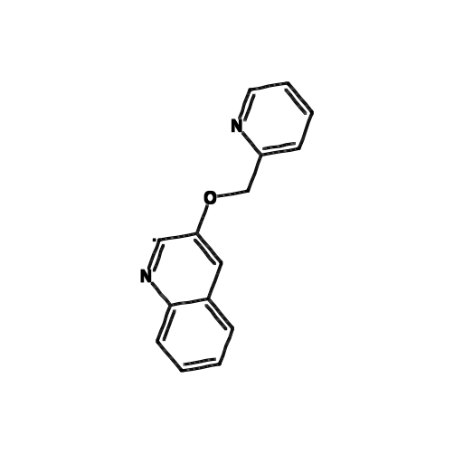 [c]1nc2ccccc2cc1OCc1ccccn1